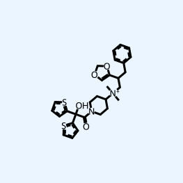 C[N+](C)(CC(Cc1ccccc1)C1=COCO1)C1CCN(C(=O)C(O)(c2cccs2)c2cccs2)CC1